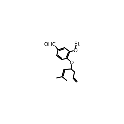 C=CCC(C=C(C)C)Oc1ccc(C=O)cc1OCC